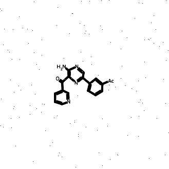 CC(=O)c1cccc(-c2cnc(N)c(C(=O)c3cccnc3)n2)c1